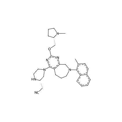 Cc1ccc2ccccc2c1N1CCCc2c(nc(OC[C@@H]3CCCN3C)nc2N2CCN[C@@H](CC#N)C2)C1